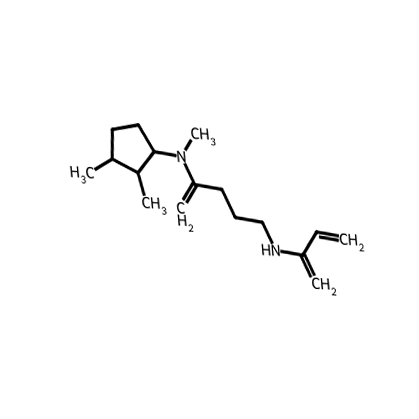 C=CC(=C)NCCCC(=C)N(C)C1CCC(C)C1C